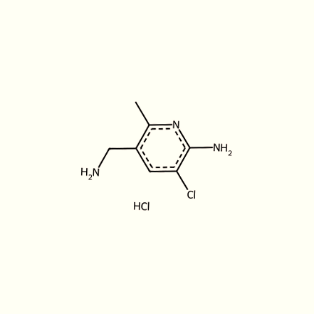 Cc1nc(N)c(Cl)cc1CN.Cl